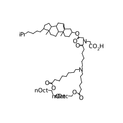 CCCCCCCCCCCOC(=O)CCCCCN(CCCCCCCC(=O)OC(CCCCCCCC)CCCCCCCC)CCCCCC(=O)N(CC(=O)O)CC(=O)OC1CCC2(C)C(=CCC3C2CCC2(C)C(CCCCC(C)C)CCC32)C1